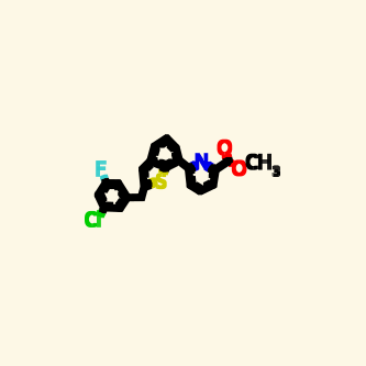 COC(=O)c1cccc(-c2cccc3cc(Cc4cc(F)cc(Cl)c4)sc23)n1